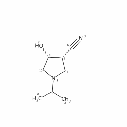 CC(C)N1C[C@@H](C#N)[C@@H](O)C1